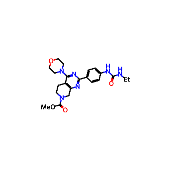 CCNC(=O)Nc1ccc(-c2nc3c(c(N4CCOCC4)n2)CCN(C(=O)OC)C3)cc1